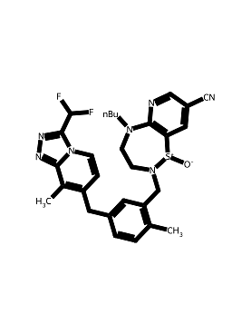 CCCCN1CCN(Cc2cc(Cc3ccn4c(C(F)F)nnc4c3C)ccc2C)[S+]([O-])c2cc(C#N)cnc21